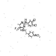 O=[N+]([O-])c1ccc(CCNc2nc(Nc3ccc(Cl)c(Cl)c3)ncc2C(F)(F)F)cc1